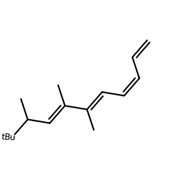 C=C\C=C/C=C(C)/C(C)=C/C(C)C(C)(C)C